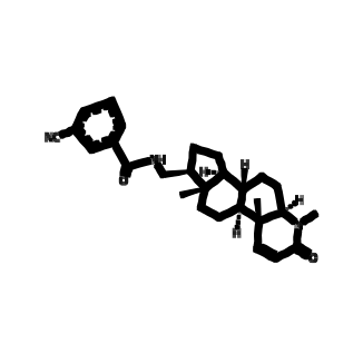 CN1C(=O)C=C[C@]2(C)[C@H]3CC[C@]4(C)[C@@H](CNC(=O)c5cccc(C#N)c5)CC[C@H]4[C@@H]3CC[C@@H]12